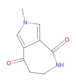 Cn1cc2c(c1)C(=O)NCCC2=O